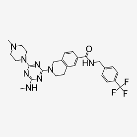 CNc1nc(N2CCN(C)CC2)nc(N2CCc3cc(C(=O)NCc4ccc(C(F)(F)F)cc4)ccc3C2)n1